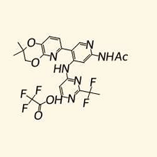 CC(=O)Nc1cc(Nc2ccnc(C(C)(F)F)n2)c(-c2ccc3c(n2)OCC(C)(C)O3)cn1.O=C(O)C(F)(F)F